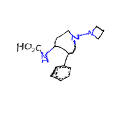 O=C(O)NC1CCN(N2CCC2)CC1c1ccccc1